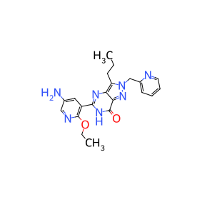 CCCc1c2nc(-c3cc(N)cnc3OCC)[nH]c(=O)c2nn1Cc1ccccn1